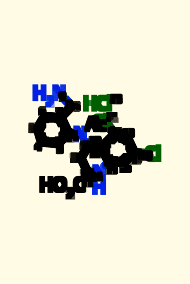 CC(=O)N(c1ccccc1CN)[C@@H]1C[C@@H](C(=O)O)Nc2cc(Cl)cc(Cl)c21.Cl